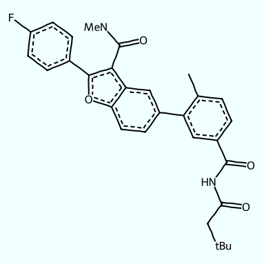 CNC(=O)c1c(-c2ccc(F)cc2)oc2ccc(-c3cc(C(=O)NC(=O)CC(C)(C)C)ccc3C)cc12